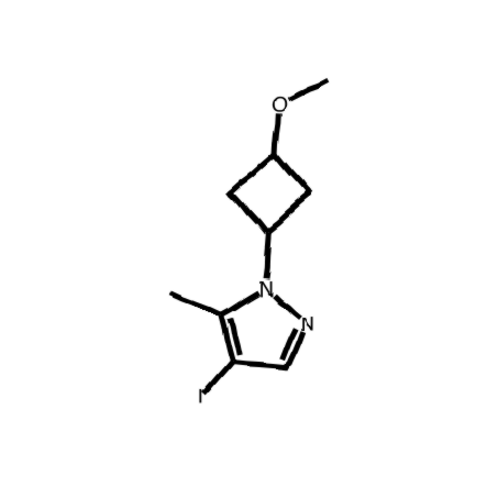 COC1CC(n2ncc(I)c2C)C1